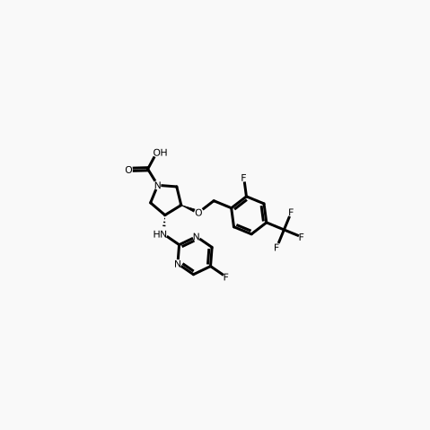 O=C(O)N1C[C@@H](Nc2ncc(F)cn2)[C@H](OCc2ccc(C(F)(F)F)cc2F)C1